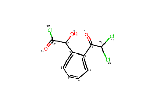 O=C(c1ccccc1C(O)C(=O)Cl)C(Cl)Cl